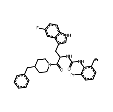 CC(C)c1cccc(C(C)C)c1NC(=O)NC(Cc1c[nH]c2ccc(F)cc12)C(=O)N1CCC(Cc2ccccc2)CC1